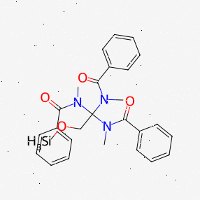 CN(C(=O)c1ccccc1)C(CO[SiH3])(N(C)C(=O)c1ccccc1)N(C)C(=O)c1ccccc1